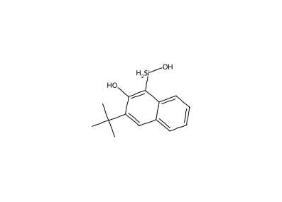 CC(C)(C)c1cc2ccccc2c([SiH2]O)c1O